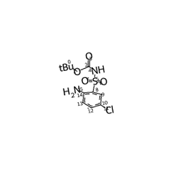 CC(C)(C)OC(=O)NS(=O)(=O)c1cc(Cl)[c]cc1N